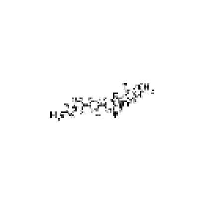 C=Cc1c(F)cc(OC(F)(F)c2c(F)cc(-c3ccc(-c4ccc5c(c4)CC(C)C5)cc3F)cc2F)cc1F